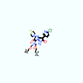 C[Si](C)(C)CCOCN(COCC[Si](C)(C)C)C1C(=O)C(N2CCSCC2)=Nc2c(-c3ccc(Cl)nc3)c(=O)[nH]n21